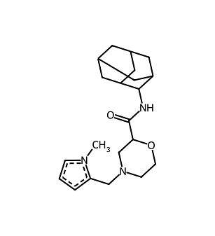 Cn1cccc1CN1CCOC(C(=O)NC2C3CC4CC(C3)CC2C4)C1